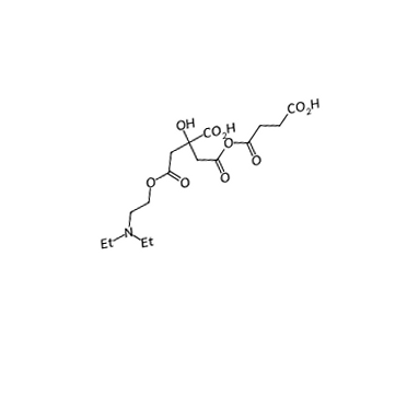 CCN(CC)CCOC(=O)CC(O)(CC(=O)OC(=O)CCC(=O)O)C(=O)O